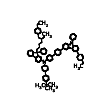 C=Cc1ccc(CC(CC)CCCCC2(c3ccccc3)c3ccccc3-c3ccc(N(c4ccc(-c5ccc(-c6ccc7c(c6)c6cc(C8=CCC(C=C)C=C8)ccc6n7-c6ccccc6)cc5)cc4)c4ccc(-c5ccc(C(C)(C)C)cc5)cc4)cc32)cc1